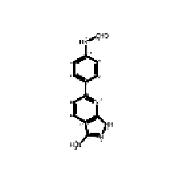 Nc1n[nH]c2nc(-c3ccc(NC=O)cc3)ccc12